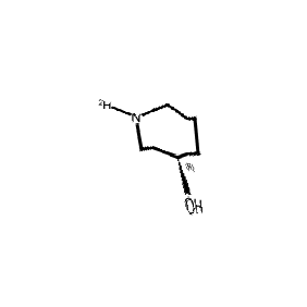 [2H]N1CCC[C@@H](O)C1